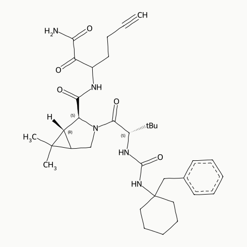 C#CCCC(NC(=O)[C@@H]1[C@@H]2C(CN1C(=O)[C@@H](NC(=O)NC1(Cc3ccccc3)CCCCC1)C(C)(C)C)C2(C)C)C(=O)C(N)=O